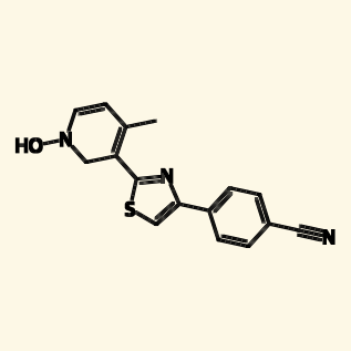 CC1=C(c2nc(-c3ccc(C#N)cc3)cs2)CN(O)C=C1